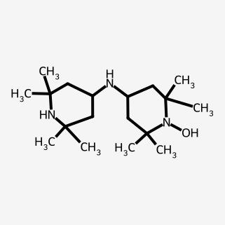 CC1(C)CC(NC2CC(C)(C)N(O)C(C)(C)C2)CC(C)(C)N1